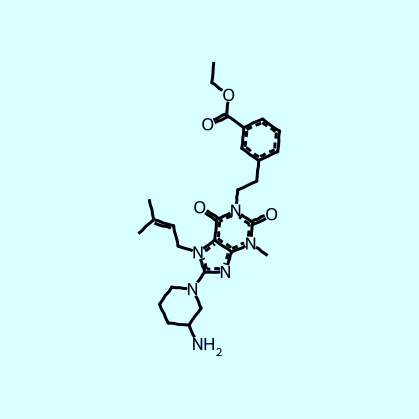 CCOC(=O)c1cccc(CCn2c(=O)c3c(nc(N4CCCC(N)C4)n3CC=C(C)C)n(C)c2=O)c1